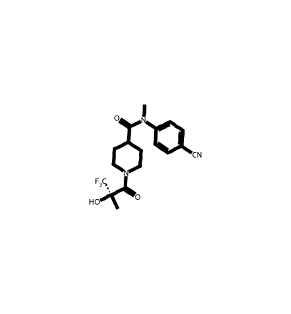 CN(C(=O)C1CCN(C(=O)[C@@](C)(O)C(F)(F)F)CC1)c1ccc(C#N)cc1